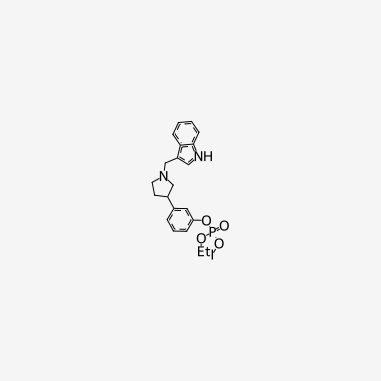 CCOP(=O)(OI)Oc1cccc(C2CCN(Cc3c[nH]c4ccccc34)C2)c1